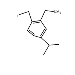 CC(C)c1ccc(CF)c(CN)c1